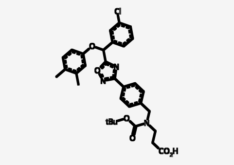 Cc1ccc(OC(c2cccc(Cl)c2)c2nc(-c3ccc(CN(CCC(=O)O)C(=O)OC(C)(C)C)cc3)no2)cc1C